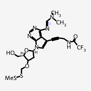 CSSCOC1C[C@H](n2cc(C#CCNC(=O)C(F)(F)F)c3c(/N=C/N(C)C)ncnc32)O[C@@H]1CO